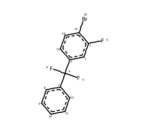 Fc1cc(C(F)(F)c2ccccc2)ccc1Br